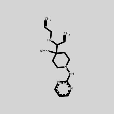 C=CCNC(C=C)C1(CCCCC)CCN(Nc2ncccn2)CC1